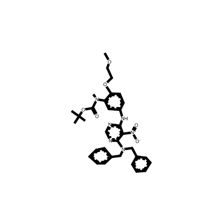 COCCOc1ccc(Nc2ncnc(N(Cc3ccccc3)Cc3ccccc3)c2[N+](=O)[O-])cc1N(C)C(=O)OC(C)(C)C